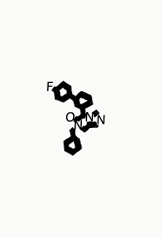 O=C1C(c2cccc(-c3ccc(F)cc3)c2)n2cncc2CN1Cc1ccccc1